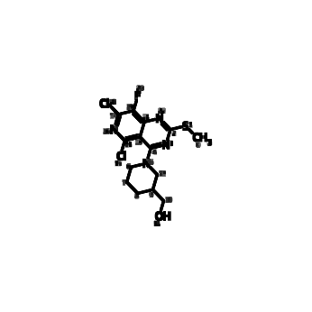 CSc1nc(N2CCCC(CO)C2)c2c(Cl)nc(Cl)c(F)c2n1